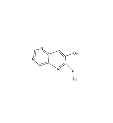 Oc1cc2ncncc2nc1SS